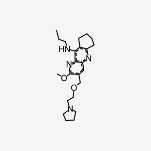 CCCNc1c2c(nc3cc(COCCN4CCCC4)c(OC)nc13)CCCC2